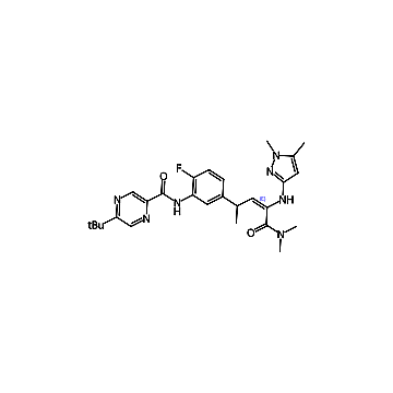 Cc1cc(N/C(=C/C(C)c2ccc(F)c(NC(=O)c3cnc(C(C)(C)C)cn3)c2)C(=O)N(C)C)nn1C